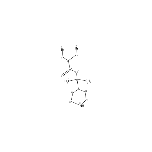 CC(C)(OC(=O)C(CBr)CBr)C1CCNCC1